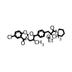 CCOC(C)(Cc1ccc(C(=O)C(C)CN2COc3ccc(Cl)cc3C2=O)cc1)C(=O)N1CCCCC1